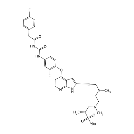 C=C(CN(C)CCN(C)CC#Cc1cc2c(Oc3ccc(NC(=O)NC(=O)Cc4ccc(F)cc4)cc3F)ccnc2[nH]1)S(=O)(=O)C(C)(C)C